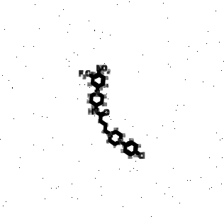 O=C(CCCN1CCN(c2ccc(Cl)cc2)CC1)NC1CCN(c2ccc([N+](=O)[O-])c(C(F)(F)F)c2)CC1